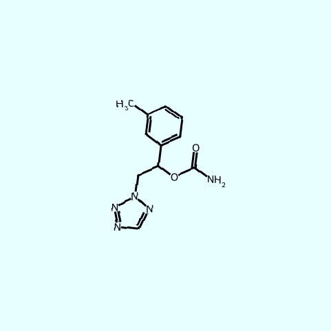 Cc1cccc(C(Cn2ncnn2)OC(N)=O)c1